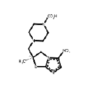 C[C@]1(CN2CCN(C(=O)O)CC2)Cn2c([N+](=O)[O-])cnc2O1